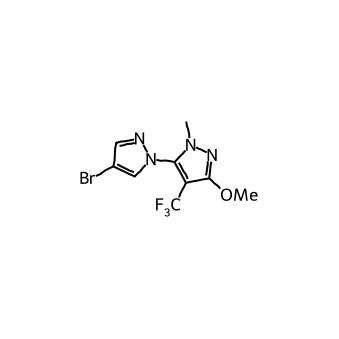 COc1nn(C)c(-n2cc(Br)cn2)c1C(F)(F)F